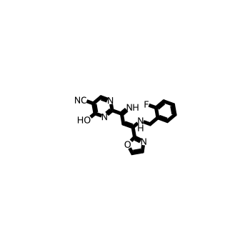 N#Cc1cnc(C(=N)/C=C(\NCc2ccccc2F)c2ncco2)nc1O